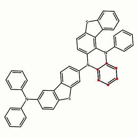 c1ccc(N(c2ccccc2)c2ccc3sc4cc(N(c5ccccc5)c5ccc6sc7ccccc7c6c5N(c5ccccc5)c5ccccc5)ccc4c3c2)cc1